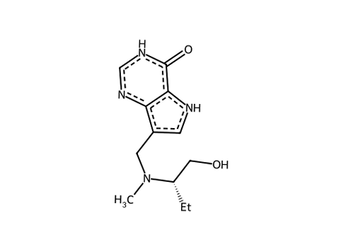 CC[C@@H](CO)N(C)Cc1c[nH]c2c(=O)[nH]cnc12